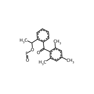 Cc1cc(C)c(C(=O)c2ccccc2C(C)OP=O)c(C)c1